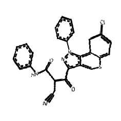 N#CC(C(=O)Nc1ccccc1)C(=O)c1nn(-c2ccccc2)c2c1=CSC1=CC=C(Cl)CC=21